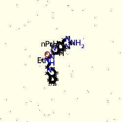 CCCN1C[C@@H](NC(=O)N(CC)CCN2CCc3ccccc3C2)C[C@@H]2Cc3nc(N)ncc3C[C@H]21